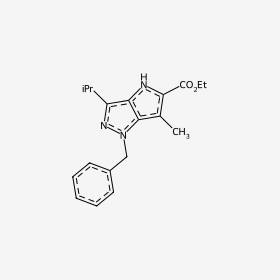 CCOC(=O)c1[nH]c2c(C(C)C)nn(Cc3ccccc3)c2c1C